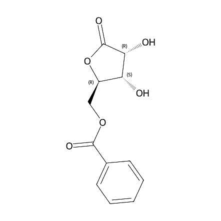 O=C(OC[C@H]1OC(=O)[C@H](O)[C@@H]1O)c1ccccc1